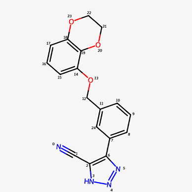 N#Cc1[nH]nnc1-c1cccc(COc2cccc3c2OCCO3)c1